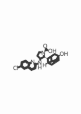 O=C(O)N1CCC(Nc2ccc3cc(Cl)ccc3n2)[C@H]1C1C2CC3C[C@H]1C[C@@](O)(C3)C2